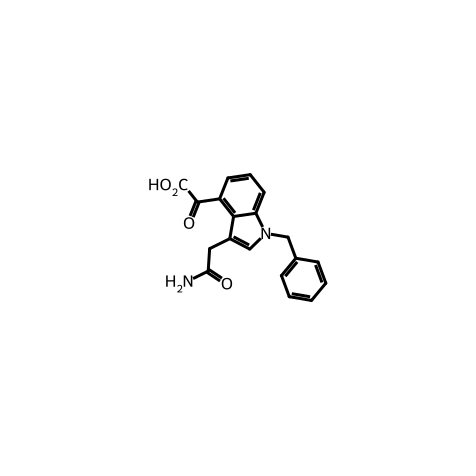 NC(=O)Cc1cn(Cc2ccccc2)c2cccc(C(=O)C(=O)O)c12